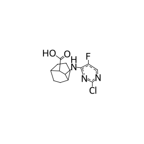 O=C(O)C1C2CCCC(CC2)C1Nc1nc(Cl)ncc1F